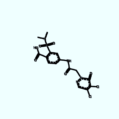 CN(C)S(=O)(=O)c1cc(NC(=O)Cn2ncc(Cl)c(Cl)c2=O)ccc1C(=O)O